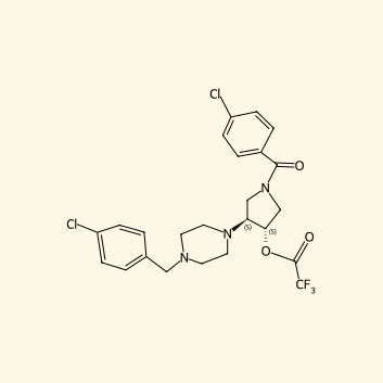 O=C(c1ccc(Cl)cc1)N1C[C@H](OC(=O)C(F)(F)F)[C@@H](N2CCN(Cc3ccc(Cl)cc3)CC2)C1